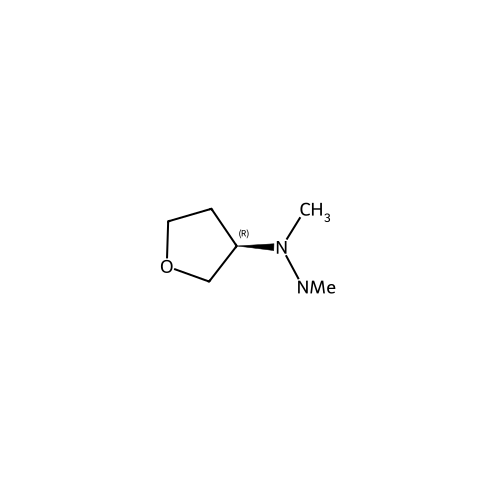 CNN(C)[C@@H]1CCOC1